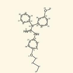 CCCCOc1ccc(NC(=N)N(c2ccccc2)c2cccc(OC)c2)cc1